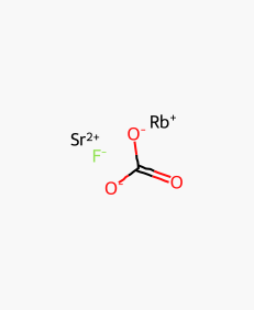 O=C([O-])[O-].[F-].[Rb+].[Sr+2]